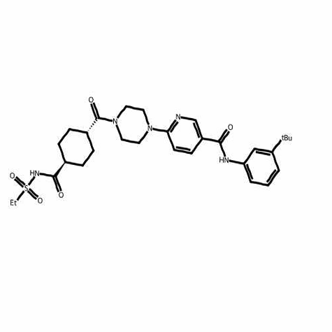 CCS(=O)(=O)NC(=O)[C@H]1CC[C@H](C(=O)N2CCN(c3ccc(C(=O)Nc4cccc(C(C)(C)C)c4)cn3)CC2)CC1